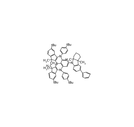 CC(C)(C)c1ccc(N2C3=C(B4C5=C(c6cc(C(C)(C)C)ccc6C5(C)C)N(c5ccc(C(C)(C)C)cc5)c5cc(N6c7ccc(-c8ccccc8)cc7C7(C)CCCCC67C)cc2c54)C(C)(C)c2ccc(C(C)(C)C)cc23)cc1